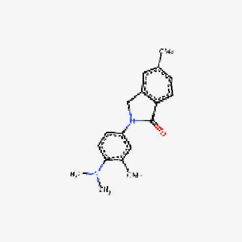 COc1ccc2c(c1)CN(c1ccc(N(C)C)c(OC)c1)C2=O